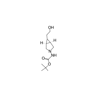 CC(C)(C)OC(=O)NN1C[C@@H]2C(CCO)[C@@H]2C1